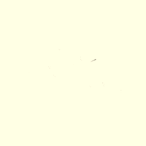 CC[C@H](NC(=O)c1cncc2c1cnn2-c1ccc(F)cc1)c1ccnc(N2CCS(=O)(=O)CC2)c1